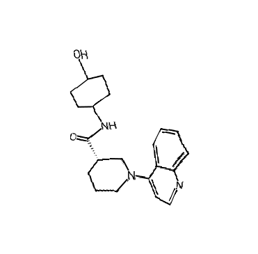 O=C(NC1CCC(O)CC1)[C@H]1CCCN(c2ccnc3ccccc23)C1